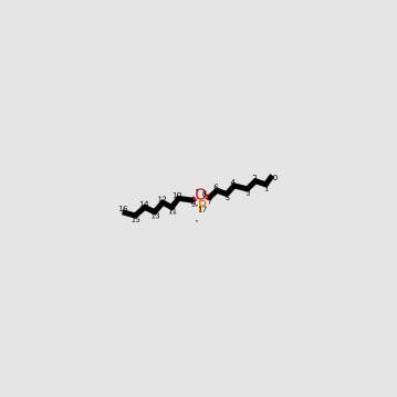 CCCCCCCCOCCCCCCCC.[P]